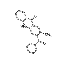 Cc1cc2c(=O)c3ccccc3[nH]c2cc1C(=O)c1ccccc1